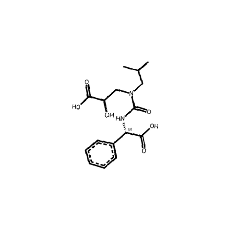 CC(C)CN(CC(O)C(=O)O)C(=O)N[C@H](C(=O)O)c1ccccc1